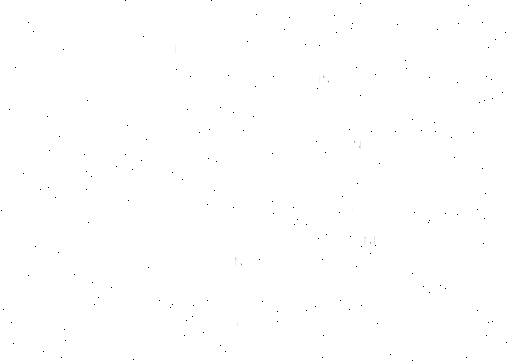 Cc1ccc(C(=O)N2CCC(c3ccc(C(F)(F)F)cc3)CC2)cc1NC(=O)CN1CCNC(=O)C1